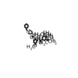 COc1ccc(NC(=O)NC2CCN(Cc3ccccc3)CC2)c(NC(=O)c2cc(C(C)(C)C)c(O)c(C(C)(C)C)c2)c1